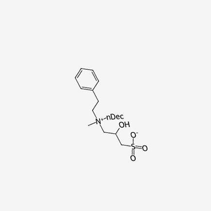 CCCCCCCCCC[N+](C)(CCc1ccccc1)CC(O)CS(=O)(=O)[O-]